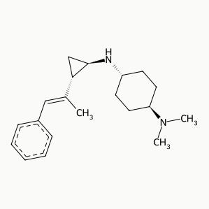 C/C(=C\c1ccccc1)[C@@H]1C[C@H]1N[C@H]1CC[C@H](N(C)C)CC1